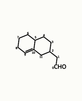 O=CCC1CCC2CCCC=C2C1